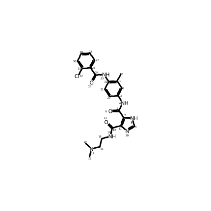 Cc1cc(NC(=O)c2[nH]cnc2C(=O)NCCN(C)C)ccc1NC(=O)c1ccccc1Cl